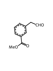 COC(=O)c1cc[c]c(CC=O)c1